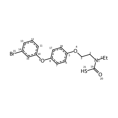 CCN(CCOc1ccc(Oc2cccc(Br)c2)cc1)C(=O)S